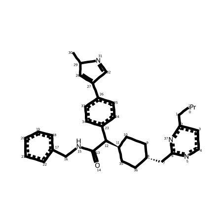 CC(C)Cc1ccnc(C[C@H]2CC[C@H](C(C(=O)NCc3ccccc3)c3ccc(C4=CC(C)N=C4)cc3)CC2)n1